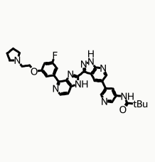 CC(C)(C)C(=O)Nc1cncc(-c2cnc3[nH]nc(-c4nc5c(-c6cc(F)cc(OCCN7CCCC7)c6)nccc5[nH]4)c3c2)c1